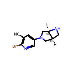 N#Cc1cc(N2C[C@@H]3CN[C@@H]3C2)cnc1Br